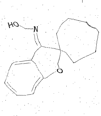 ON=C1c2ccccc2OC12CCCCCC2